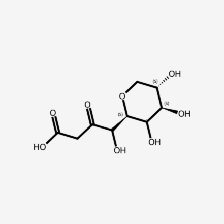 O=C(O)CC(=O)C(O)[C@H]1OC[C@H](O)[C@@H](O)[C]1O